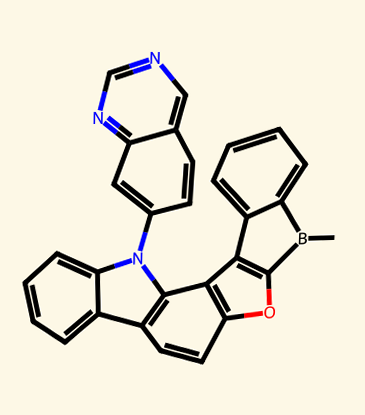 CB1c2ccccc2-c2c1oc1ccc3c4ccccc4n(-c4ccc5cncnc5c4)c3c21